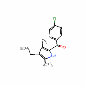 CCOC(=O)Cc1c(C(Cl)(Cl)Cl)[nH]c(C(=O)c2ccc(Cl)cc2)c1C